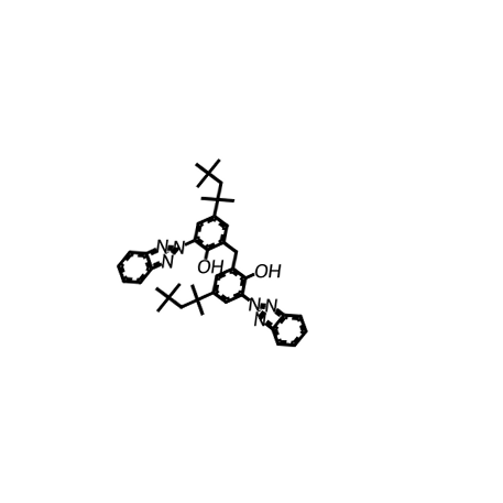 CC(C)(C)CC(C)(C)c1cc(Cc2cc(C(C)(C)CC(C)(C)C)cc(-n3n4c5ccccc5n34)c2O)c(O)c(-n2n3c4ccccc4n23)c1